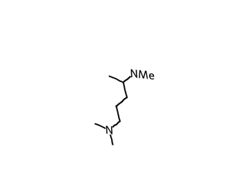 CNC(C)CCCN(C)C